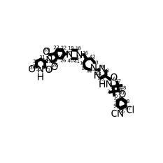 CC1(C)[C@H](NC(=O)c2cnc(N3CCCC(CN4CCN(c5ccc6c(c5)C(=O)N(C5CCC(=O)NC5=O)C6=O)CC4)CC3)nc2)C(C)(C)[C@H]1Oc1ccc(C#N)c(Cl)c1